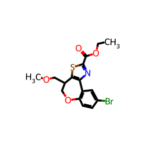 CCOC(=O)c1nc2c(s1)C(COC)COc1ccc(Br)cc1-2